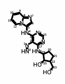 N=Nc1c(Nc2cnc3ccccn23)ncnc1NC1CCC(CO)C1O